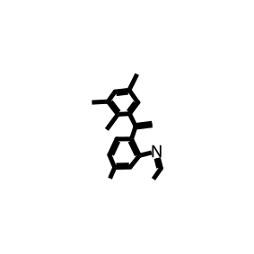 C=C(c1ccc(C)cc1/N=C\C)c1cc(C)cc(C)c1C